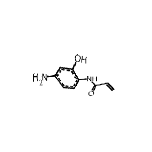 C=CC(=O)Nc1ccc(N)cc1O